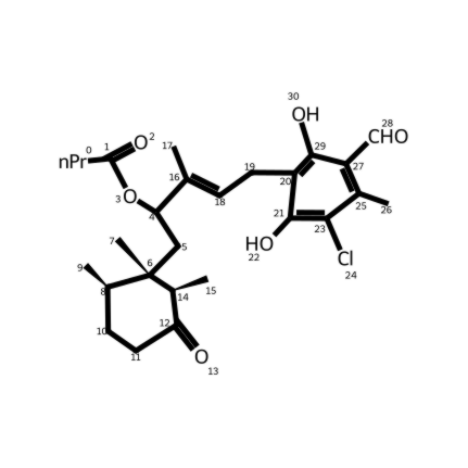 CCCC(=O)OC(C[C@@]1(C)[C@H](C)CCC(=O)[C@@H]1C)C(C)=CCc1c(O)c(Cl)c(C)c(C=O)c1O